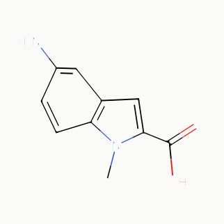 Cn1c(C(=O)O)cc2cc(N)ccc21